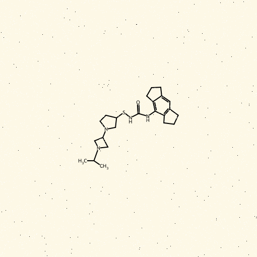 CC(C)N1CC(N2CCC(SNC(=O)Nc3c4c(cc5c3CCC5)CCC4)C2)C1